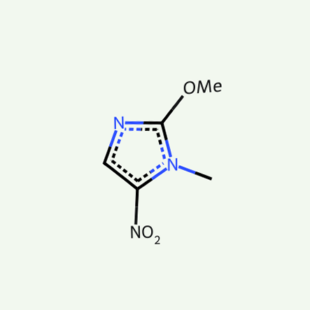 COc1ncc([N+](=O)[O-])n1C